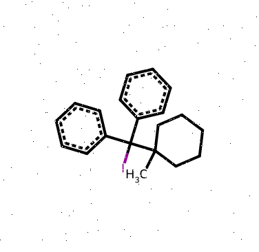 CC1(C(I)(c2ccccc2)c2ccccc2)CCCCC1